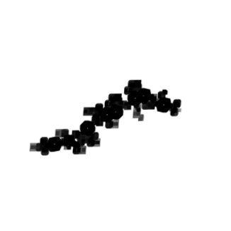 COc1cc([N+](=O)[O-])ccc1N=Nc1ccc2c(S(=O)(=O)O)cc(N=Nc3ccc4c(O)c(N=Nc5ccc(N=Nc6c(C(=O)O)nn(-c7ccc(S(=O)(=O)O)cc7)c6O)c(S(=O)(=O)O)c5)c(S(=O)(=O)O)cc4c3S(=O)(=O)O)c(N)c2c1O